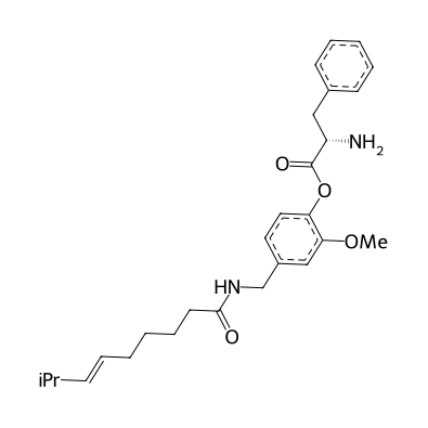 COc1cc(CNC(=O)CCCC/C=C/C(C)C)ccc1OC(=O)[C@@H](N)Cc1ccccc1